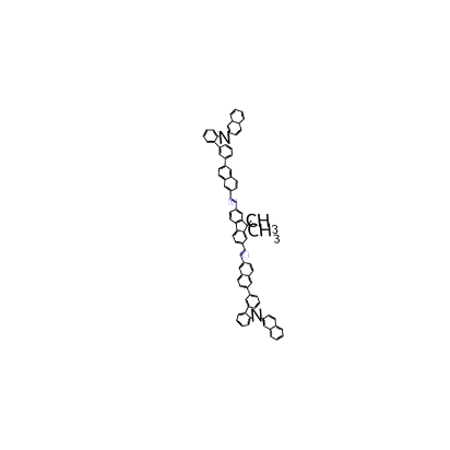 CC1(C)c2cc(/C=C/c3ccc4cc(-c5ccc6c(c5)c5ccccc5n6C5=CC6C=CC=CC6C=C5)ccc4c3)ccc2-c2ccc(/C=C/c3ccc4cc(-c5ccc6c(c5)c5ccccc5n6-c5ccc6ccccc6c5)ccc4c3)cc21